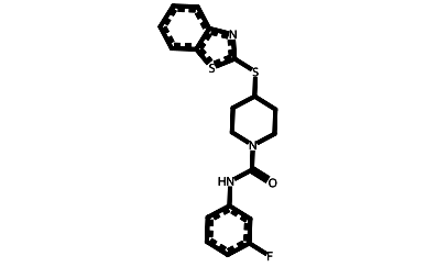 O=C(Nc1cccc(F)c1)N1CCC(Sc2nc3ccccc3s2)CC1